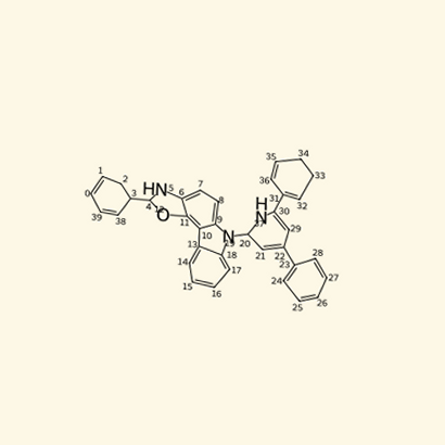 C1=CCC(C2Nc3ccc4c(c3O2)c2ccccc2n4C2C=C(c3ccccc3)C=C(C3=CCCC=C3)N2)C=C1